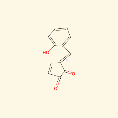 O=C1C=C/C(=C\c2ccccc2O)C1=O